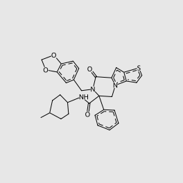 CC1CCC(NC(=O)C2(c3ccccc3)Cn3c(cc4sccc43)C(=O)N2Cc2ccc3c(c2)OCO3)CC1